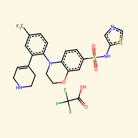 O=C(O)C(F)(F)F.O=S(=O)(Nc1cncs1)c1ccc2c(c1)OCCN2c1ccc(C(F)(F)F)cc1C1=CCNCC1